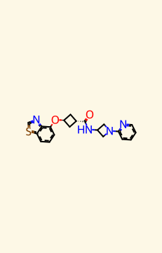 O=C(NC1CN(c2ccccn2)C1)[C@H]1C[C@H](Oc2cccc3scnc23)C1